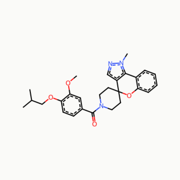 COc1cc(C(=O)N2CCC3(CC2)Oc2ccccc2-c2c3cnn2C)ccc1OCC(C)C